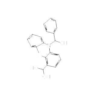 CC(c1ccccc1)N1c2ccccc2Oc2c(C(O)O)cccc21